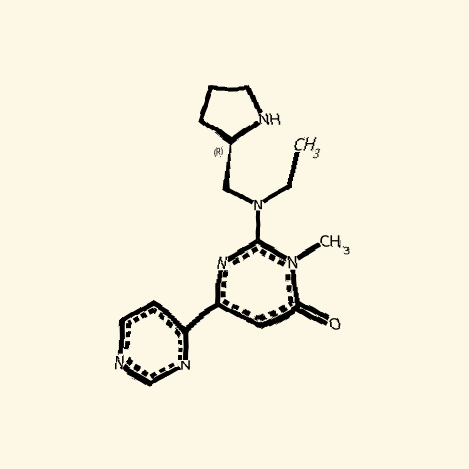 CCN(C[C@H]1CCCN1)c1nc(-c2ccncn2)cc(=O)n1C